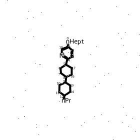 CCCCCCCc1ccc(C2CCC(C3CCC(CCC)CC3)CC2)nc1